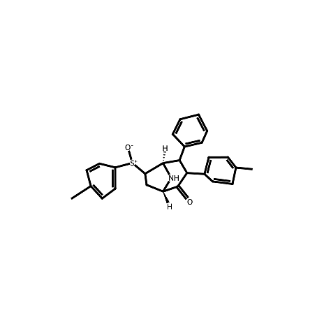 Cc1ccc(C2C(=O)[C@@H]3CC([S+]([O-])c4ccc(C)cc4)[C@H](N3)C2c2ccccc2)cc1